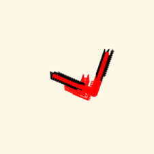 O.O.O.O.O.O.O.O.O.O.O.O.O.O.O.O.O.O.O.O.O.O.O.O.O.O.O.O.[K+].[K+].[K+].[K+].[K+].[K+].[K+].[K+].[K+].[K+].[K+].[K+].[K+].[K+].[K+].[K+].[K+].[K+].[K+].[K+].[K+].[K+].[K+].[K+].[K+].[K+].[K+].[K+].[K+].[K+].[K+].[K+].[K+].[K+].[K+].[K+].[K+].[K+].[K+].[K+].[K+].[K+].[K+].[K+].[K+].[K+].[K+].[K+].[K+].[K+]